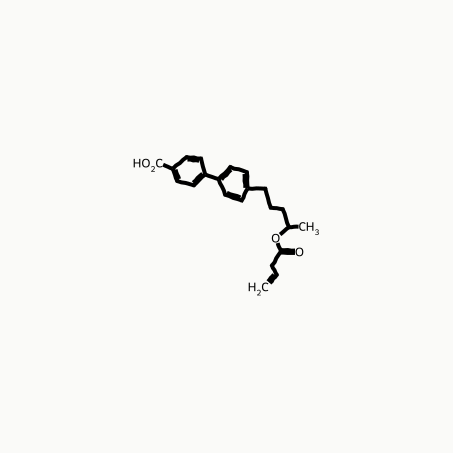 C=CCC(=O)OC(C)CCCc1ccc(-c2ccc(C(=O)O)cc2)cc1